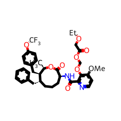 CCOCC(=O)OCOc1c(OC)ccnc1C(=O)N[C@H]1CCC[C@H](Cc2ccccc2)[C@@H](Cc2ccc(OC(F)(F)F)cc2)[C@H](C)OC1=O